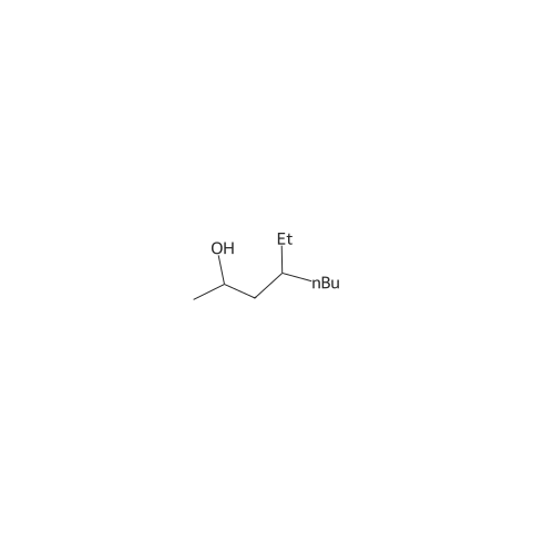 CCCCC(CC)CC(C)O